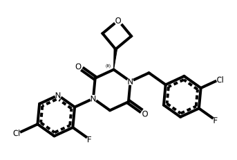 O=C1[C@@H](C2COC2)N(Cc2ccc(F)c(Cl)c2)C(=O)CN1c1ncc(Cl)cc1F